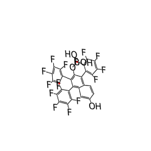 OB(O)Oc1c(-c2c(F)c(F)c(F)c(F)c2F)c(-c2c(F)c(F)c(F)c(F)c2F)c2cc(O)ccc2c1-c1c(F)c(F)c(F)c(F)c1F